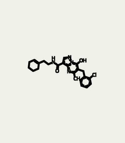 Cc1nc2c(C(=O)NCCC3=CCCCC3)cnn2c(O)c1Cc1ccccc1Cl